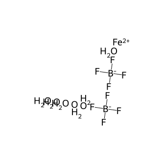 F[B-](F)(F)F.F[B-](F)(F)F.O.O.O.O.O.O.[Fe+2]